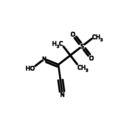 CC(C)(C(C#N)=NO)S(C)(=O)=O